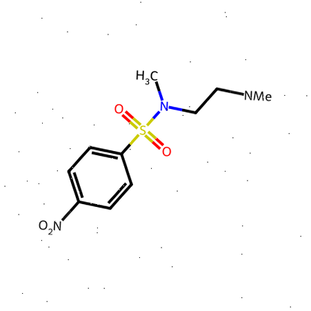 CNCCN(C)S(=O)(=O)c1ccc([N+](=O)[O-])cc1